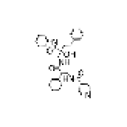 O=C(NCC(C(=O)NCC(O)(CCc1ccccc1)c1nc2ccccc2o1)C1CCCCC1)c1ccncc1